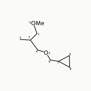 COCC(C)COCC1CC1